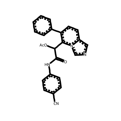 CC(=O)OC(C(=O)Nc1ccc(C#N)cc1)c1c(-c2ccccc2)ccc2cncn12